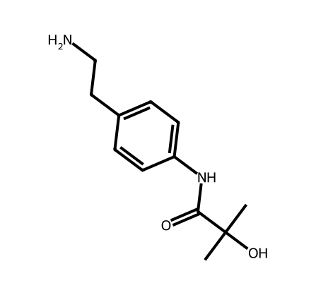 CC(C)(O)C(=O)Nc1ccc(CCN)cc1